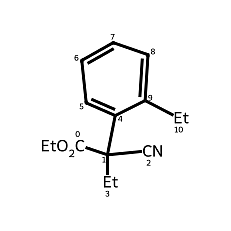 CCOC(=O)C(C#N)(CC)c1ccccc1CC